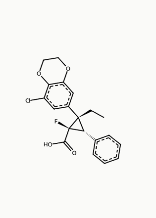 CC[C@@]1(c2cc(Cl)c3c(c2)OCCO3)[C@H](c2ccccc2)[C@]1(F)C(=O)O